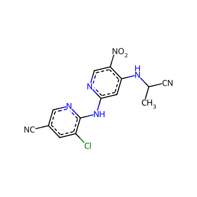 CC(C#N)Nc1cc(Nc2ncc(C#N)cc2Cl)ncc1[N+](=O)[O-]